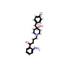 Nc1ccccc1C(=O)CCCN1CCC(O)(Cc2ccc(Cl)cc2)CC1